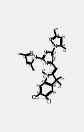 Cc1cc(C)n(-c2nc(/C=C3\N(C)c4cc(Cl)c(Cl)cc4C3(C)C)nc(-n3nc(C)cc3C)n2)n1